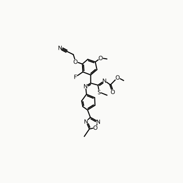 COC(=O)N=C(SC)C(=Nc1ccc(-c2noc(C)n2)cc1)c1cc(OC)cc(OCC#N)c1F